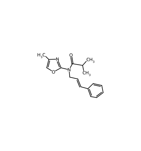 Cc1coc(N(C/C=C/c2ccccc2)C(=O)C(C)C)n1